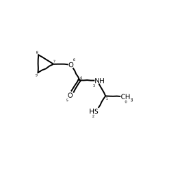 CC(S)NC(=O)OC1CC1